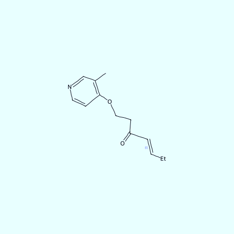 CC/C=C/C(=O)CCOc1ccncc1C